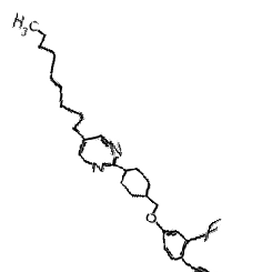 CCCCCCCCCc1cnc(C2CCC(COc3ccc(C#N)c(F)c3)CC2)nc1